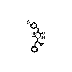 COc1ccc(C=C2NC(=O)C(C(=Cc3ccccc3)C3CC3)NC2=O)cc1